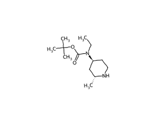 CCN(C(=O)OC(C)(C)C)[C@H]1CCN[C@H](C)C1